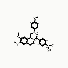 COc1ccc(OCC2c3cc(OC)c(OC)cc3CCN2C(=O)c2ccc(N(O)O)cc2)cc1